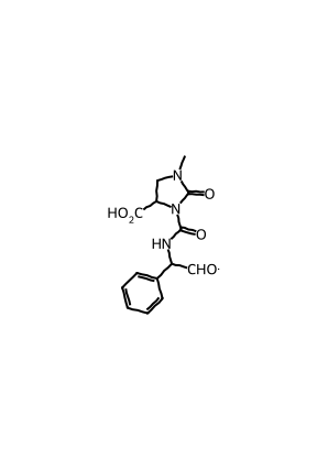 CN1CC(C(=O)O)N(C(=O)NC([C]=O)c2ccccc2)C1=O